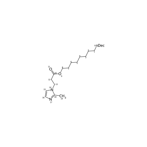 CCCCCCCCCCCCCCCCCCOC(=O)CCn1ccnc1C